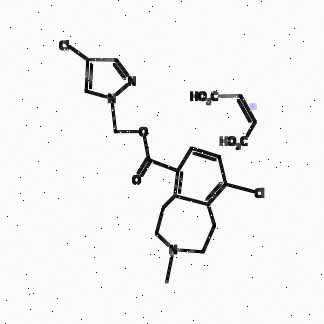 CN1CCc2c(Cl)ccc(C(=O)OCn3cc(Cl)cn3)c2CC1.O=C(O)/C=C\C(=O)O